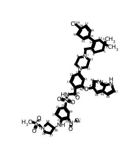 CC1(C)CCC(CN2CCN(c3ccc(C(=O)NS(=O)(=O)c4ccc(N[C@@H]5CCN(S(C)(=O)=O)C5)c([N+](=O)[O-])c4)c(Oc4cnc5[nH]ccc5c4)c3)CC2)=C(c2ccc(Cl)cc2)C1